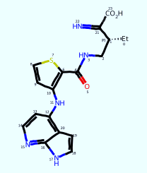 CC[C@H](CNC(=O)c1sccc1Nc1ccnc2[nH]ccc12)C(=N)C(=O)O